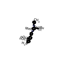 CCCCCCCCC1(CCCCCCCC)c2cc(C)ccc2-c2ccc(-c3ccc(/C=C/c4cc(OCC(CC)CCCC)c(/C=C/c5ccc(C)cc5)cc4OC)cc3)cc21